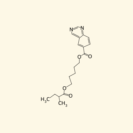 CCC(C)C(=O)OCCCCCOC(=O)c1ccc2ncncc2c1